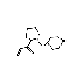 C=CC(=O)C1CCCCN1CC1CCNCC1